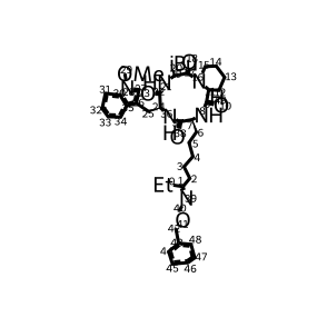 CC/C(CCCCC[C@@H]1NC(=O)[C@H]2CCCCN2C(=O)[C@H](C(C)CC)NC(=O)[C@H](Cc2cn(OC)c3ccccc23)NC1=O)=N\COCc1ccccc1